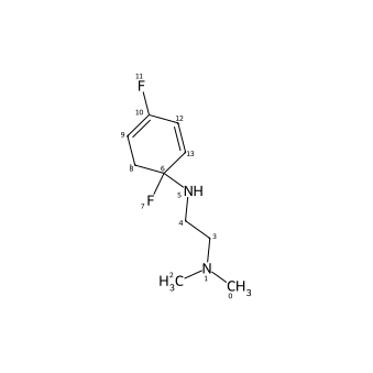 CN(C)CCNC1(F)[CH]C=C(F)C=C1